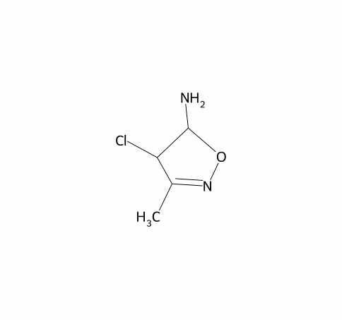 CC1=NOC(N)C1Cl